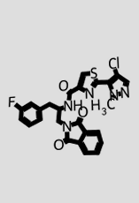 Cn1ncc(Cl)c1-c1nc(C(=O)NC(Cc2cccc(F)c2)CN2C(=O)c3ccccc3C2=O)cs1